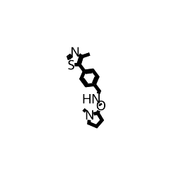 Cc1ncsc1-c1ccc(CNOC2CCCN2C)cc1